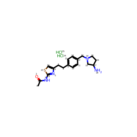 CC(=O)Nc1nc(CCc2ccc(CN3CCC(N)C3)cc2)cs1.Cl.Cl